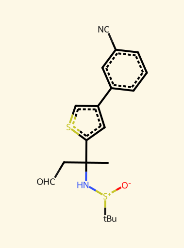 CC(CC=O)(N[S+]([O-])C(C)(C)C)c1cc(-c2cccc(C#N)c2)cs1